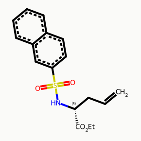 C=CC[C@@H](NS(=O)(=O)c1ccc2ccccc2c1)C(=O)OCC